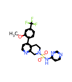 COc1cc(C(F)(F)F)ccc1-c1ccnc2c1CCN(S(=O)(=O)Nc1ccncn1)C2